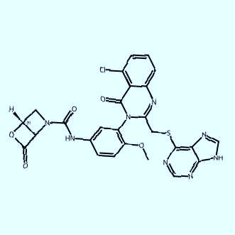 COc1ccc(NC(=O)N2C[C@H]3OC(=O)C32)cc1-n1c(CSc2ncnc3[nH]cnc23)nc2cccc(Cl)c2c1=O